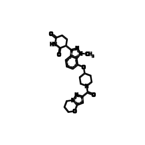 Cn1nc(C2CCC(=O)NC2=O)c2cccc(OC3CCN(C(=O)c4cc5n(n4)CCCO5)CC3)c21